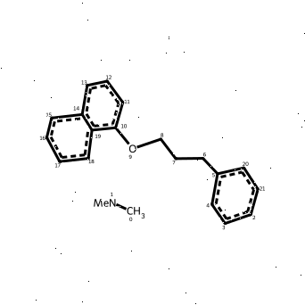 CNC.c1ccc(CCCOc2cccc3ccccc23)cc1